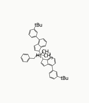 CC(C)(C)c1cccc(-c2cccc3c2C=C[CH]3[Hf]([CH3])([CH3])(=[CH]Cc2ccccc2)[CH]2C=Cc3c(-c4cccc(C(C)(C)C)c4)cccc32)c1